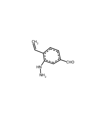 C=Cc1ccc(C=O)cc1NN